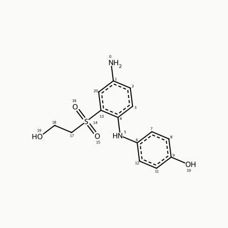 Nc1ccc(Nc2ccc(O)cc2)c(S(=O)(=O)CCO)c1